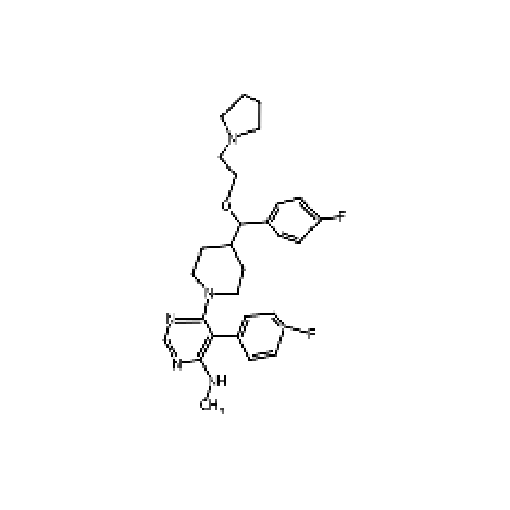 CNc1ncnc(N2CCC(C(OCCN3CCCC3)c3ccc(F)cc3)CC2)c1-c1ccc(F)cc1